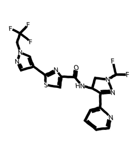 O=C(NC1CN(C(F)F)N=C1c1ccccn1)c1csc(-c2cnn(CC(F)(F)F)c2)n1